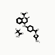 CCC(=O)N1c2ccccc2[C@H](NC2CCC(C(=O)N3CC(N)C3)CC2)C[C@@H]1C.O=C(O)C(F)(F)F